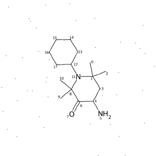 CC1(C)CC(N)C(=O)C(C)(C)N1C1CCCCC1